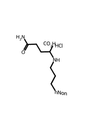 CCCCCCCCCCCCNC(CCC(N)=O)C(=O)O.Cl